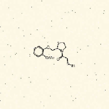 CCSCC(=O)N1CCSC1COc1ccccc1OC